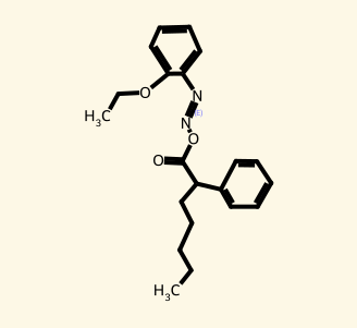 CCCCCC(C(=O)O/N=N/c1ccccc1OCC)c1ccccc1